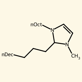 CCCCCCCCCCCCCC1N(C)C=CN1CCCCCCCC